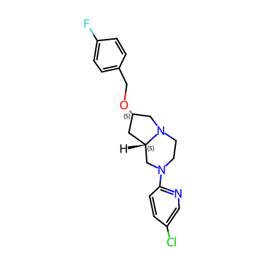 Fc1ccc(CO[C@H]2C[C@H]3CN(c4ccc(Cl)cn4)CCN3C2)cc1